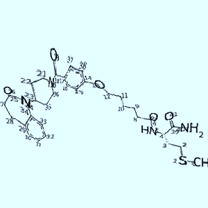 CSCC[C@H](NC(=O)CCCCCOc1ccc(C(=O)N2CCC(N3C(=O)CCc4ccccc43)CC2)cc1)C(N)=O